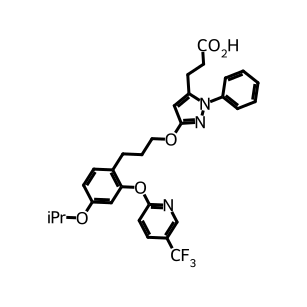 CC(C)Oc1ccc(CCCOc2cc(CCC(=O)O)n(-c3ccccc3)n2)c(Oc2ccc(C(F)(F)F)cn2)c1